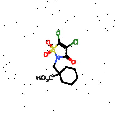 O=C1C(Cl)=C(Cl)S(=O)(=O)N1CC1(C(=O)O)CCCCC1